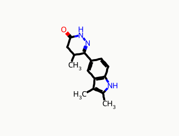 Cc1[nH]c2ccc(C3=NNC(=O)CC3C)cc2c1C